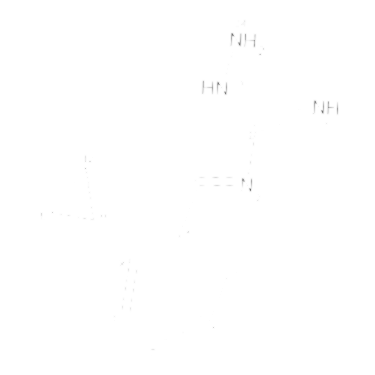 N=C(N=Cc1ccccc1C1CC1)NN